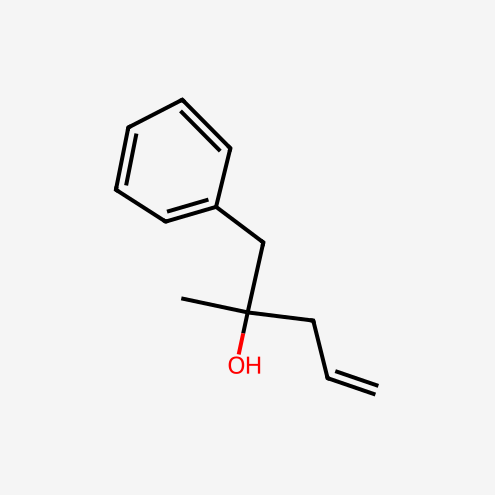 C=CCC(C)(O)Cc1ccccc1